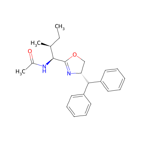 CC[C@H](C)[C@H](NC(C)=O)C1=N[C@@H](C(c2ccccc2)c2ccccc2)CO1